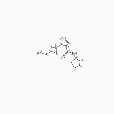 CC(=O)SC1CN(C2SC=CN2C(=O)NC2CCCC2)C1